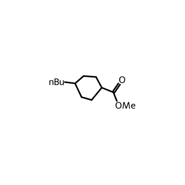 CCCCC1CCC(C(=O)OC)CC1